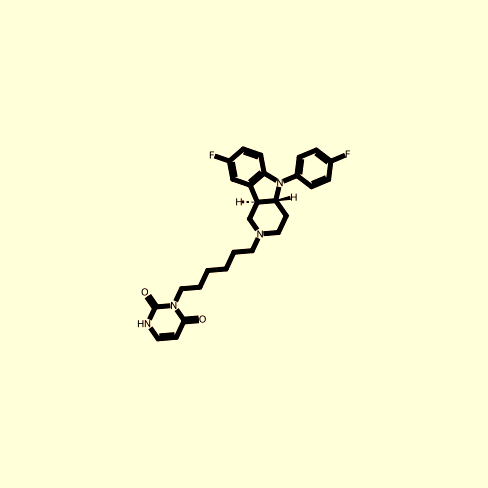 O=c1cc[nH]c(=O)n1CCCCCCN1CC[C@@H]2[C@@H](C1)c1cc(F)ccc1N2c1ccc(F)cc1